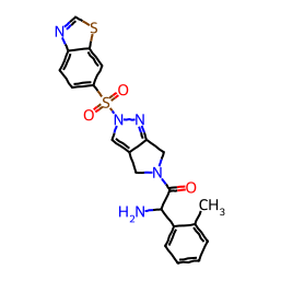 Cc1ccccc1C(N)C(=O)N1Cc2cn(S(=O)(=O)c3ccc4ncsc4c3)nc2C1